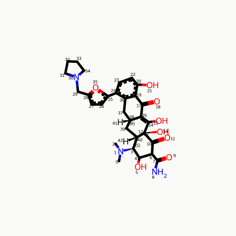 CN(C)[C@@H]1C(O)C(C(N)=O)C(=O)[C@@]2(O)C(O)=C3C(=O)c4c(O)ccc(-c5ccc(CN6CCCC6)o5)c4C[C@H]3C[C@@H]12